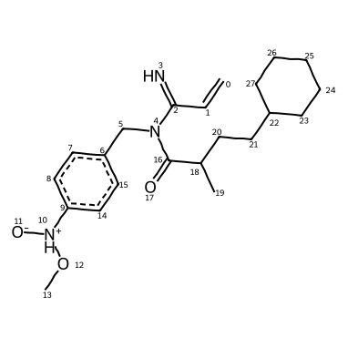 C=CC(=N)N(Cc1ccc([NH+]([O-])OC)cc1)C(=O)C(C)CCC1CCCCC1